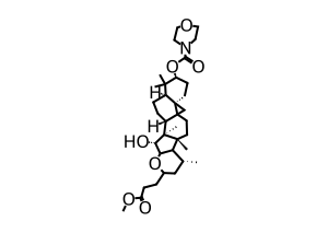 COC(=O)CCC1C[C@@H](C)C2C(O1)[C@H](O)[C@@]1(C)[C@@H]3CC[C@H]4C(C)(C)[C@@H](OC(=O)N5CCOCC5)CC[C@@]45CC35CC[C@]21C